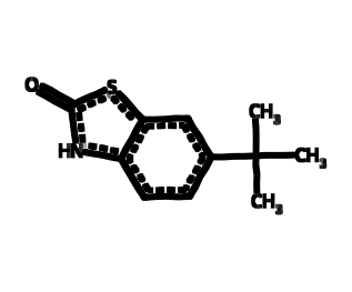 CC(C)(C)c1ccc2[nH]c(=O)sc2c1